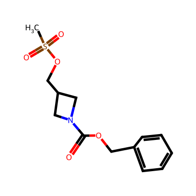 CS(=O)(=O)OCC1CN(C(=O)OCc2ccccc2)C1